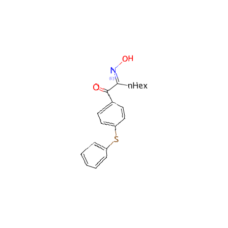 CCCCCC/C(=N\O)C(=O)c1ccc(Sc2ccccc2)cc1